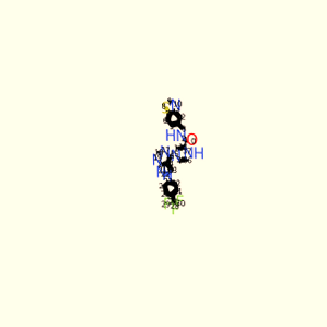 O=C(NCc1ccc2scnc2c1)[C@H]1CN(c2ncnc3nn(-c4ccc(C(F)(F)F)cc4)cc23)CCN1